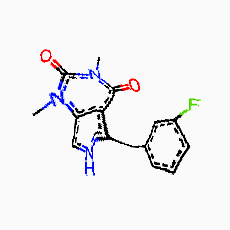 Cn1c(=O)c2c(-c3cccc(F)c3)[nH]cc2n(C)c1=O